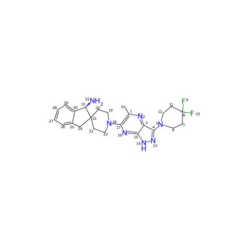 Cc1nc2c(N3CCC(F)(F)CC3)n[nH]c2nc1N1CCC2(CC1)Cc1ccccc1[C@H]2N